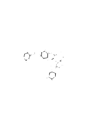 C[C@@H](Cc1ccc(OCc2ccccc2)cc1)C(=O)N1C(=O)OC[C@@H]1Cc1ccccc1